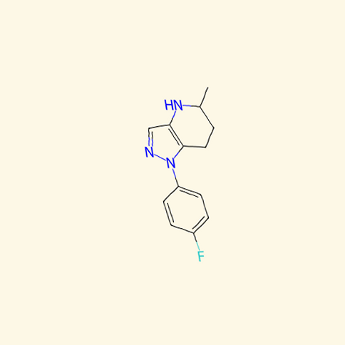 CC1CCc2c(cnn2-c2ccc(F)cc2)N1